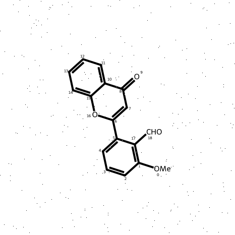 COc1cccc(-c2cc(=O)c3ccccc3o2)c1C=O